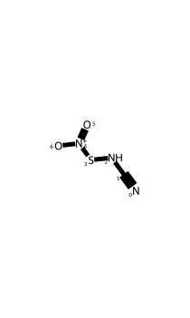 N#CNS[N+](=O)[O-]